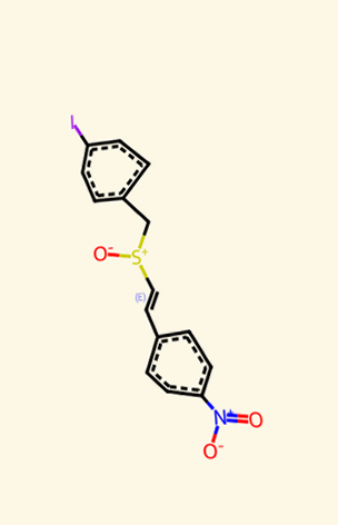 O=[N+]([O-])c1ccc(/C=C/[S+]([O-])Cc2ccc(I)cc2)cc1